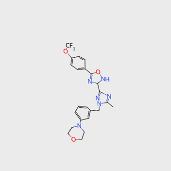 Cc1nc(C2N=C(c3ccc(OC(F)(F)F)cc3)ON2)nn1Cc1cccc(N2CCOCC2)c1